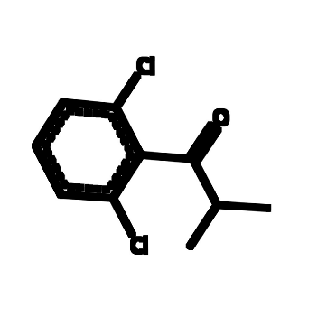 CC(C)C(=O)c1c(Cl)cccc1Cl